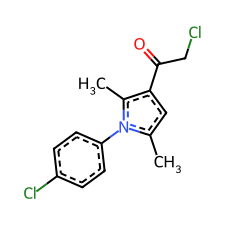 Cc1cc(C(=O)CCl)c(C)n1-c1ccc(Cl)cc1